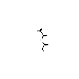 C=C(C)C(=O)NC(=O)CF